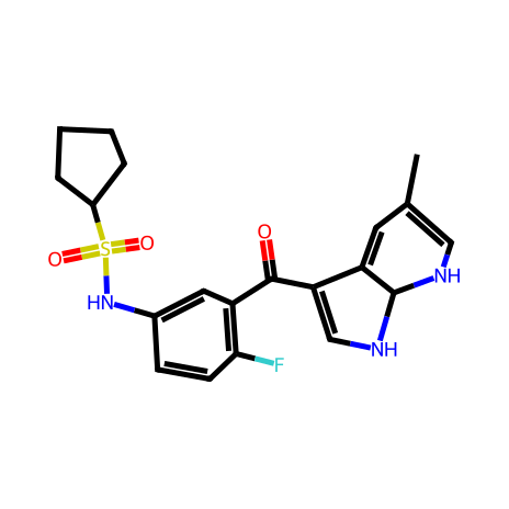 CC1=CNC2NC=C(C(=O)c3cc(NS(=O)(=O)C4CCCC4)ccc3F)C2=C1